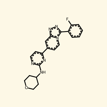 Fc1ccccc1-c1nnc2cc(-c3ccnc(NC4CCOCC4)n3)ccn12